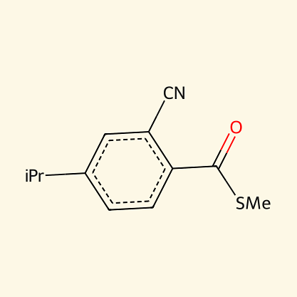 CSC(=O)c1ccc(C(C)C)cc1C#N